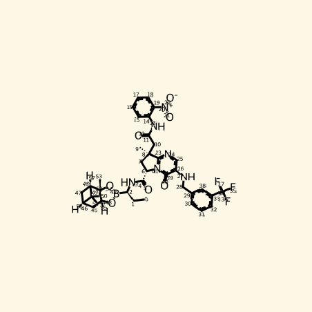 CC[C@H](NC(=O)[C@@H]1C[C@@](C)(CC(=O)Nc2ccccc2[N+](=O)[O-])c2ncc(NCc3cccc(C(F)(F)F)c3)c(=O)n21)B1O[C@@H]2C[C@@H]3C[C@@H](C3(C)C)[C@]2(C)O1